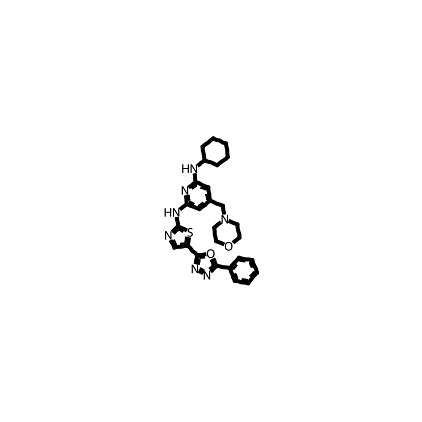 c1ccc(-c2nnc(-c3cnc(Nc4cc(CN5CCOCC5)cc(NC5CCCCC5)n4)s3)o2)cc1